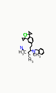 CC#N.CCC(CCc1ccc(C2(Cl)CC2)c(C2(Cl)CC2)c1)N(C)Cc1ccccc1